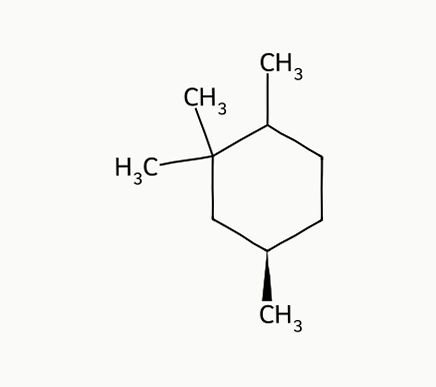 CC1CC[C@@H](C)CC1(C)C